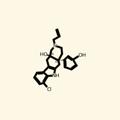 C=CCN1CC[C@@]2(c3cccc(O)c3)Cc3[nH]c4c(Cl)cccc4c3C[C@]2(O)C1